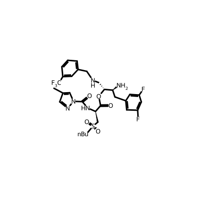 CCCCS(=O)(=O)C[C@@H](NC(=O)n1cc(C)cn1)C(=O)O[C@H](CNCc1cccc(C(F)(F)F)c1)[C@@H](N)Cc1cc(F)cc(F)c1